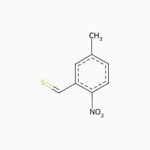 Cc1ccc([N+](=O)[O-])c(C=S)c1